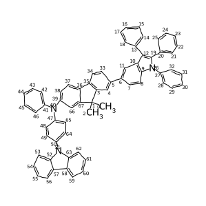 CC1(C)c2cc(-c3ccc4c(c3)c(-c3ccccc3)c(-c3ccccc3)n4-c3ccccc3)ccc2-c2ccc(N(c3ccccc3)c3ccc(-n4c5ccccc5c5ccccc54)cc3)cc21